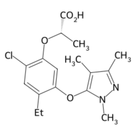 CCc1cc(Cl)c(O[C@@H](C)C(=O)O)cc1Oc1c(C)c(C)nn1C